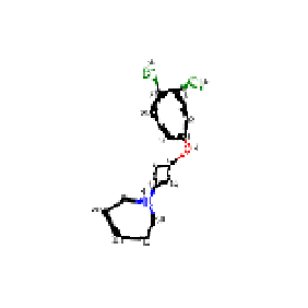 Clc1cc(OC2CC(N3CCCCC3)C2)ccc1Br